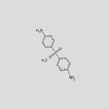 C.Nc1ccc(S(=O)(=O)c2ccc(N)cc2)cc1